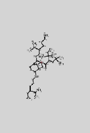 CCC(CCCNC1CCC2C(OCC(CCCN)C(C)C)CCC1N2CC(=O)C(CC(C)(C)C)C(C)(C)CC)C(C)N